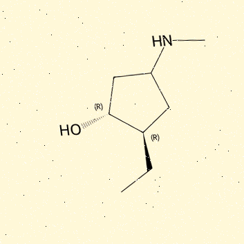 CC[C@@H]1CC(NC)C[C@H]1O